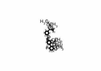 CCOP(C)(=O)CC(c1cccc(OCc2ccc(-c3cc(OC)ccc3F)c([C@@H](OC)C(C)(C)C)c2)c1)C1CC1